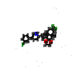 Fc1cccc(-c2ccc(C=C[C@H]3[C@H]4CCC(F)(F)C[C@@H]4CC34OCCO4)nc2)c1